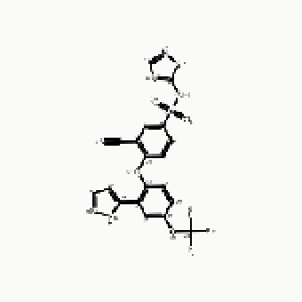 N#Cc1cc(S(=O)(=O)Nc2ncns2)ccc1Oc1ccc(OC(F)(F)F)cc1-c1ccn[nH]1